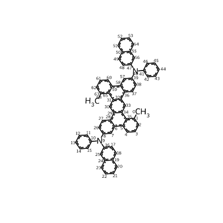 Cc1cccc2c3cc(N(c4ccccc4)c4ccc5ccccc5c4)ccc3c3cc4c(cc3c12)c1ccc(N(c2ccccc2)c2ccc3ccccc3c2)cc1c1cccc(C)c14